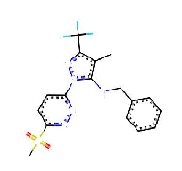 Cc1c(C(F)(F)F)nn(-c2ccc(S(C)(=O)=O)nn2)c1NCc1ccccc1